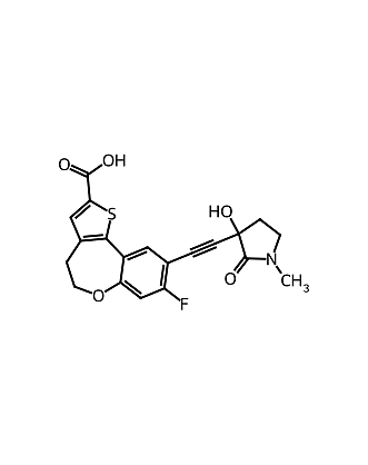 CN1CCC(O)(C#Cc2cc3c(cc2F)OCCc2cc(C(=O)O)sc2-3)C1=O